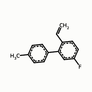 C=Cc1ccc(F)cc1-c1ccc(C)cc1